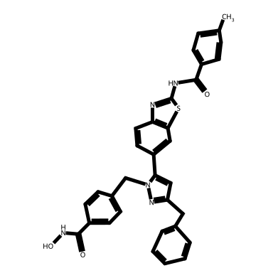 Cc1ccc(C(=O)Nc2nc3ccc(-c4cc(Cc5ccccc5)nn4Cc4ccc(C(=O)NO)cc4)cc3s2)cc1